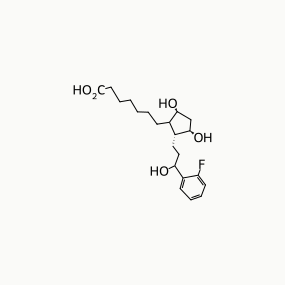 O=C(O)CCCCCCC1[C@@H](CCC(O)c2ccccc2F)[C@H](O)C[C@@H]1O